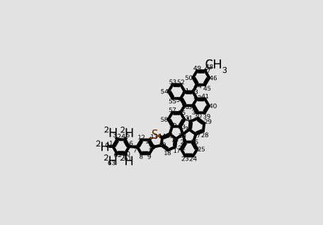 [2H]c1c([2H])c([2H])c(-c2ccc3c(c2)sc2c4c(ccc23)C2(c3ccccc3-c3ccccc32)c2cc(-c3c5ccccc5c(-c5ccc(C)cc5)c5ccccc35)ccc2-4)c([2H])c1[2H]